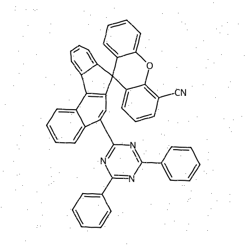 N#Cc1cccc2c1Oc1ccccc1C21c2ccccc2-c2c1cc(-c1nc(-c3ccccc3)nc(-c3ccccc3)n1)c1ccccc21